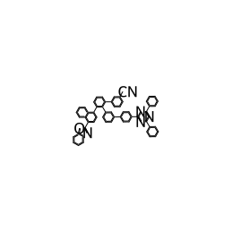 N#Cc1cccc(-c2cccc(-c3ccc(-c4nc5ccccc5o4)c4ccccc34)c2-c2cccc(-c3ccc(-c4nc(-c5ccccc5)nc(-c5ccccc5)n4)cc3)c2)c1